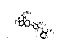 CC(C)(C)SNC1C(F)(F)CCC12CCN(c1cnc(Sc3cccnc3C(F)(F)F)c(N)n1)CC2